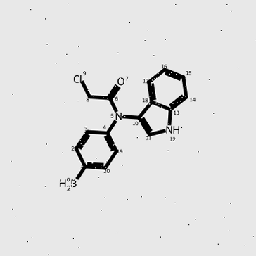 Bc1ccc(N(C(=O)CCl)c2c[nH]c3ccccc23)cc1